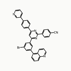 N#Cc1ccc(-c2nc(-c3ccc(-c4cccnc4)cc3)cc(-c3cc(Br)cc(-c4cccc5ncccc45)c3)n2)cc1